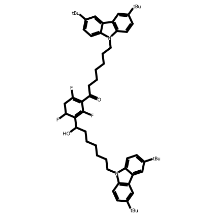 CC(C)(C)c1ccc2c(c1)c1cc(C(C)(C)C)ccc1n2CCCCCCC(=O)C1=C(F)CC(F)C(C(O)CCCCCCn2c3ccc(C(C)(C)C)cc3c3cc(C(C)(C)C)ccc32)=C1F